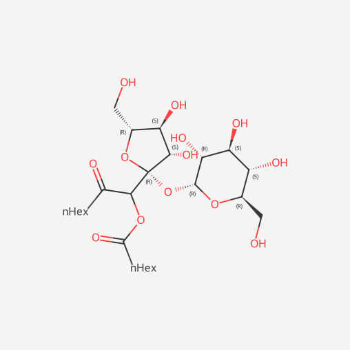 CCCCCCC(=O)OC(C(=O)CCCCCC)[C@@]1(O[C@H]2O[C@H](CO)[C@@H](O)[C@H](O)[C@H]2O)O[C@H](CO)[C@@H](O)[C@@H]1O